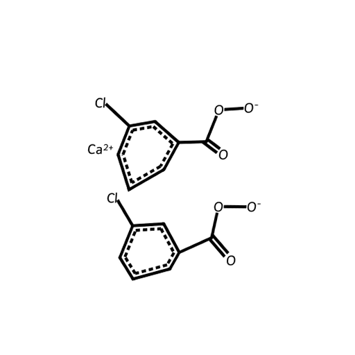 O=C(O[O-])c1cccc(Cl)c1.O=C(O[O-])c1cccc(Cl)c1.[Ca+2]